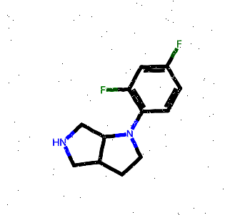 Fc1ccc(N2CCC3CNCC32)c(F)c1